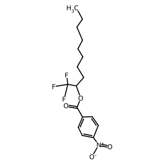 CCCCCCCCC(OC(=O)c1ccc([N+](=O)[O-])cc1)C(F)(F)F